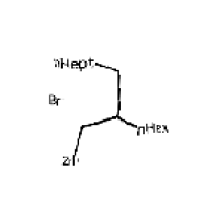 CCCCCCCCC([CH2][Zn+])CCCCCC.[Br-]